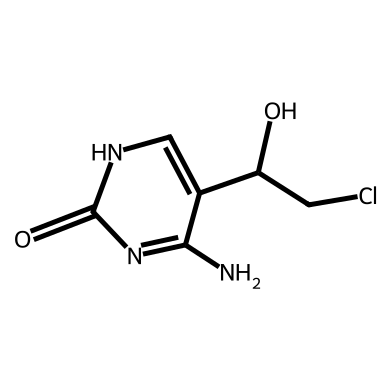 Nc1nc(=O)[nH]cc1C(O)CCl